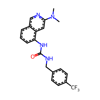 CN(C)c1cc2c(NC(=O)NCc3ccc(C(F)(F)F)cc3)cccc2cn1